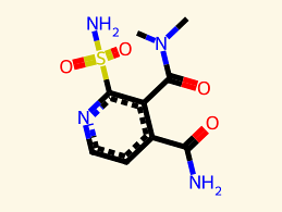 CN(C)C(=O)c1c(C(N)=O)ccnc1S(N)(=O)=O